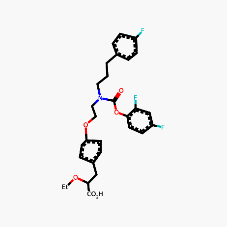 CCOC(Cc1ccc(OCCN(CCCc2ccc(F)cc2)C(=O)Oc2ccc(F)cc2F)cc1)C(=O)O